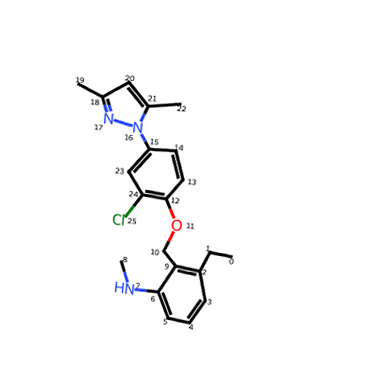 CCc1cccc(NC)c1COc1ccc(-n2nc(C)cc2C)cc1Cl